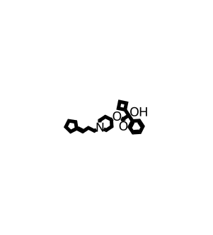 O=C(OC1CCN(CCC=C2CCCC2)CC1)C(O)(c1ccccc1)C1CCC1